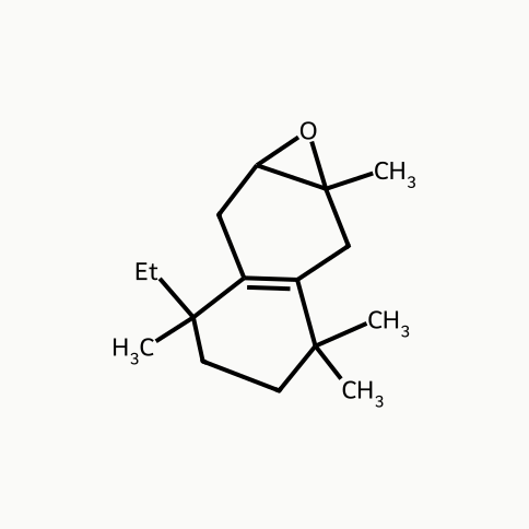 CCC1(C)CCC(C)(C)C2=C1CC1OC1(C)C2